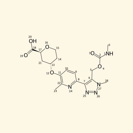 CNC(=O)OCc1c(-c2ccc(O[C@H]3CCO[C@H](C(=O)O)C3)c(C)n2)nnn1C